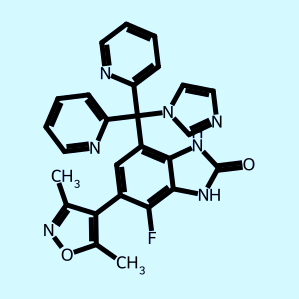 Cc1noc(C)c1-c1cc(C(c2ccccn2)(c2ccccn2)n2ccnc2)c2[nH]c(=O)[nH]c2c1F